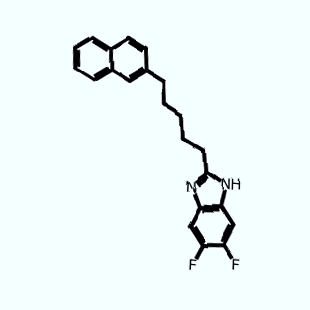 Fc1cc2nc(CCCCCc3ccc4ccccc4c3)[nH]c2cc1F